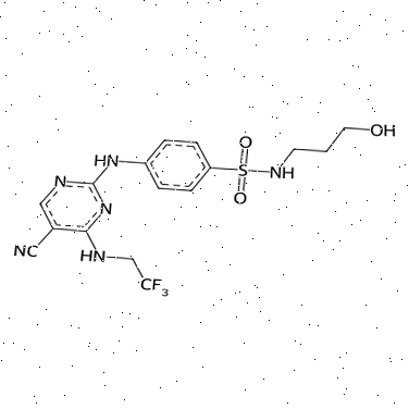 N#Cc1cnc(Nc2ccc(S(=O)(=O)NCCCO)cc2)nc1NCC(F)(F)F